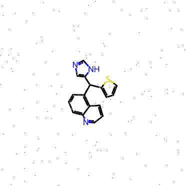 c1csc(C(c2cnc[nH]2)c2cccc3ncccc23)c1